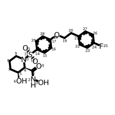 O=C(NO)[C@H]1[C@@H](O)CCCN1S(=O)(=O)c1ccc(OCCc2ccc(F)cc2)cc1